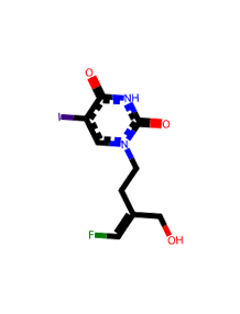 O=c1[nH]c(=O)n(CC/C(=C\F)CO)cc1I